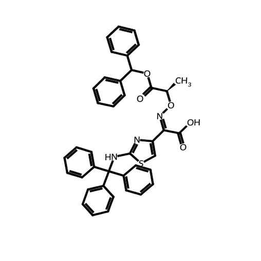 C[C@@H](O/N=C(\C(=O)O)c1csc(NC(c2ccccc2)(c2ccccc2)c2ccccc2)n1)C(=O)OC(c1ccccc1)c1ccccc1